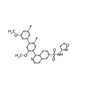 COc1cc(F)cc(-c2cc(OC)c(-c3nccc4cc(S(=O)(=O)Nc5ccon5)ccc34)cc2F)c1